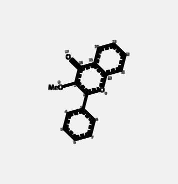 COc1c(-c2ccccc2)oc2ccccc2c1=O